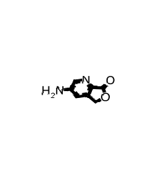 Nc1cnc2c(c1)COC2=O